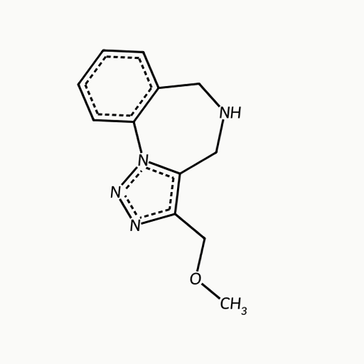 COCc1nnn2c1CNCc1ccccc1-2